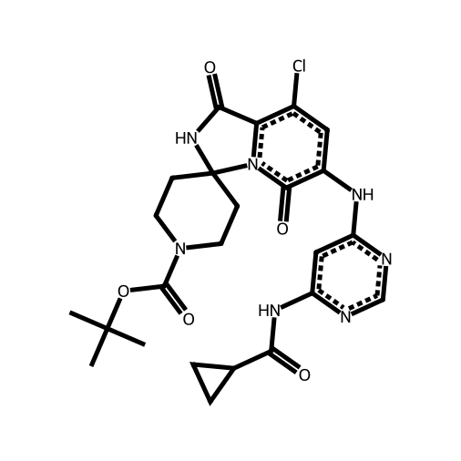 CC(C)(C)OC(=O)N1CCC2(CC1)NC(=O)c1c(Cl)cc(Nc3cc(NC(=O)C4CC4)ncn3)c(=O)n12